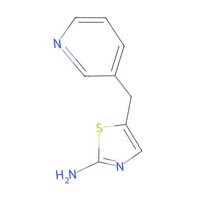 Nc1ncc(Cc2cccnc2)s1